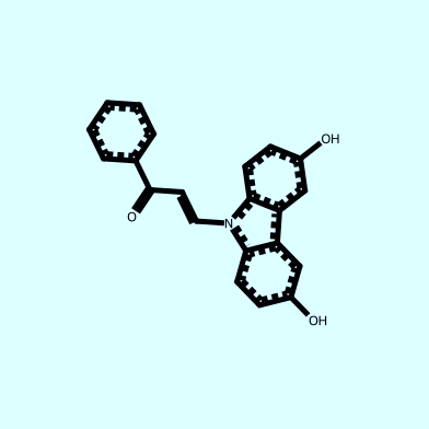 O=C(C=Cn1c2ccc(O)cc2c2cc(O)ccc21)c1ccccc1